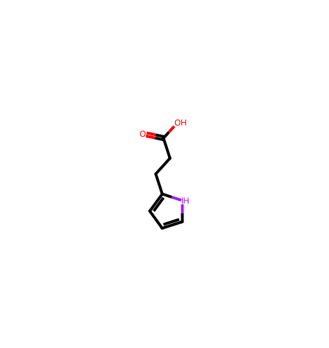 O=C(O)CCC1=CC=C[IH]1